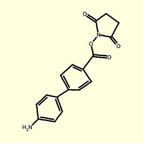 Nc1ccc(-c2ccc(C(=O)ON3C(=O)CCC3=O)cc2)cc1